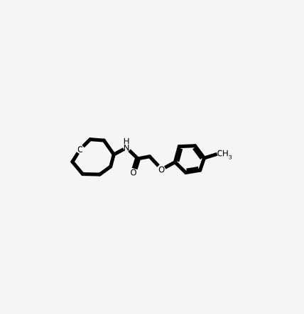 Cc1ccc(OCC(=O)NC2CCCCCCC2)cc1